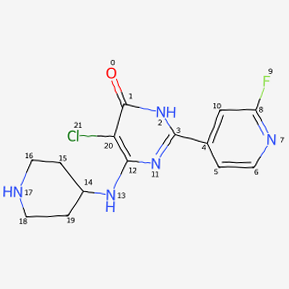 O=c1[nH]c(-c2ccnc(F)c2)nc(NC2CCNCC2)c1Cl